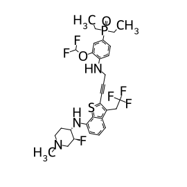 CCP(=O)(CC)c1ccc(NCC#Cc2sc3c(N[C@H]4CCN(C)C[C@@H]4F)cccc3c2CC(F)(F)F)c(OC(F)F)c1